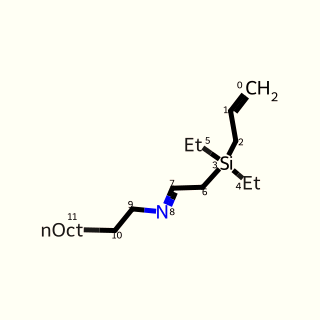 C=CC[Si](CC)(CC)CC=NCCCCCCCCCC